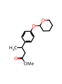 COC(=O)CC(C)c1ccc(OC2CCCCO2)cc1